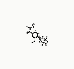 CCc1cc(C(=O)N(C)OC)ccc1B1OC(C)(C)C(C)(C)O1